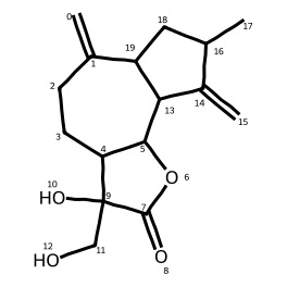 C=C1CCC2C(OC(=O)C2(O)CO)C2C(=C)C(C)CC12